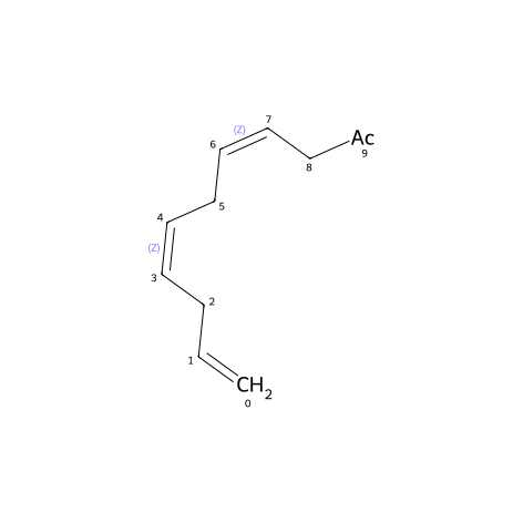 C=CC/C=C\C/C=C\CC(C)=O